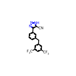 N#Cc1[nH]nnc1-c1cccc(Cc2cc(C(F)(F)F)cc(C(F)(F)F)c2)c1